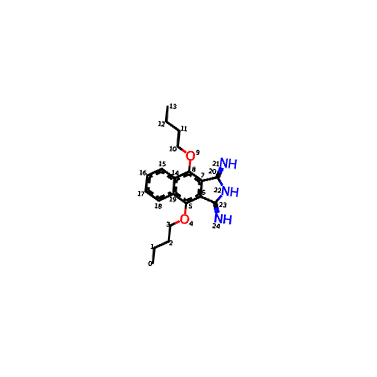 CCCCOc1c2c(c(OCCCC)c3ccccc13)C(=N)NC2=N